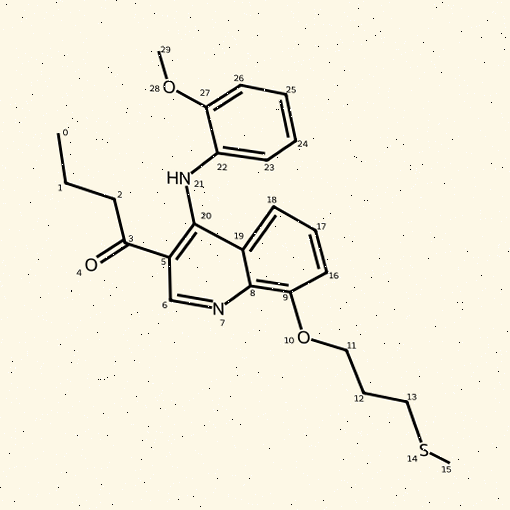 CCCC(=O)c1cnc2c(OCCCSC)cccc2c1Nc1ccccc1OC